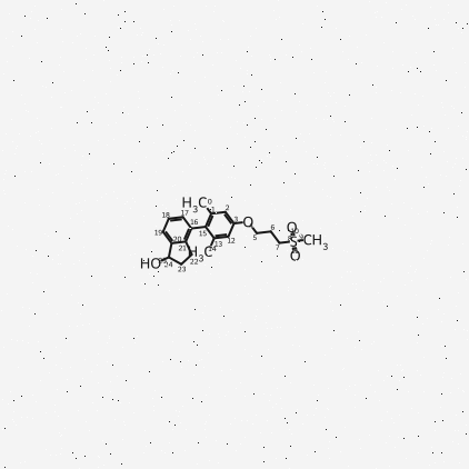 Cc1cc(OCCCS(C)(=O)=O)cc(C)c1-c1cccc2c1CCC2O